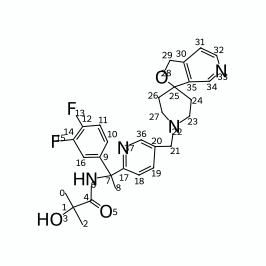 CC(C)(O)C(=O)NC(C)(c1ccc(F)c(F)c1)c1ccc(CN2CCC3(CC2)OCc2ccncc23)cn1